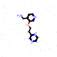 NCc1ccncc1OCCc1cnccn1